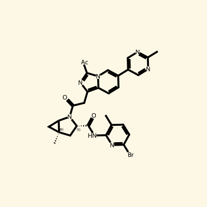 CC(=O)c1nc(CC(=O)N2C3C[C@]3(C)C[C@H]2C(=O)Nc2nc(Br)ccc2C)c2ccc(-c3cnc(C)nc3)cn12